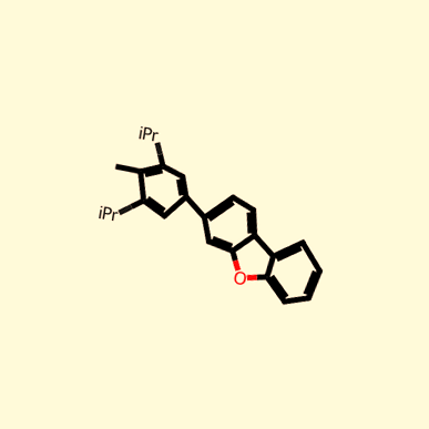 Cc1c(C(C)C)cc(-c2ccc3c(c2)oc2ccccc23)cc1C(C)C